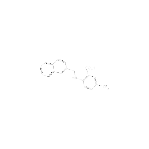 O=C(O)c1cc(C(F)(F)F)ccc1NCc1ccc2ccccc2c1